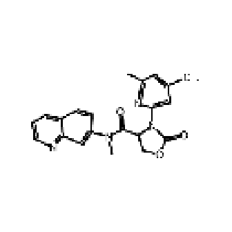 Cc1cc(C(F)(F)F)cc(N2C(=O)OCC2C(=O)N(C)c2ccc3cccnc3c2)n1